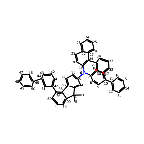 CC1(C)c2cc(N(c3ccc(-c4ccccc4)cc3)c3ccc4ccccc4c3-c3ccccc3)ccc2-c2c(-c3cccc(-c4ccccc4)c3)cccc21